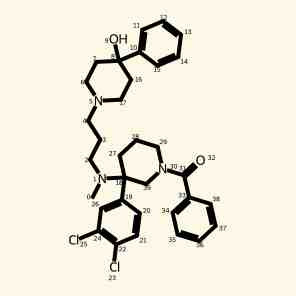 CN(CCCN1CCC(O)(c2ccccc2)CC1)C1(c2ccc(Cl)c(Cl)c2)CCCN(C(=O)c2ccccc2)C1